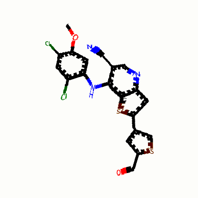 COc1cc(Nc2c(C#N)cnc3cc(-c4csc(C=O)c4)sc23)c(Cl)cc1Cl